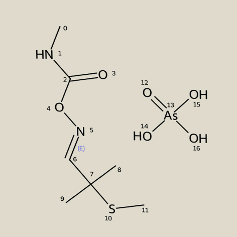 CNC(=O)O/N=C/C(C)(C)SC.O=[As](O)(O)O